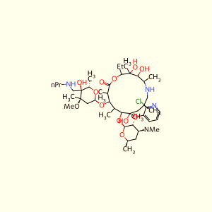 CCCNC[C@]1(O)[C@H](C)O[C@@H](OC2C(C)C(=O)OC(CC)C(C)(O)C(O)C(C)NCC(C)CC(C)(O)C(O[C@@H]3O[C@H](C)C[C@H](NC)[C@H]3Oc3cccnc3Cl)C2C)C[C@@]1(C)OC